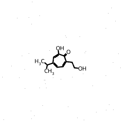 CC(C)c1ccc(CCO)c(=O)c(O)c1